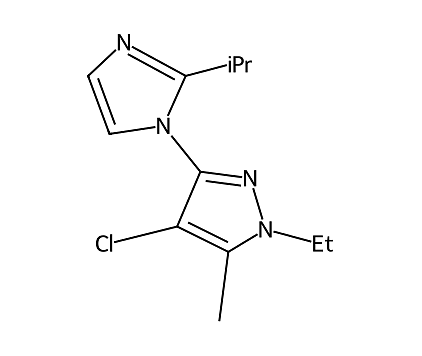 CCn1nc(-n2ccnc2C(C)C)c(Cl)c1C